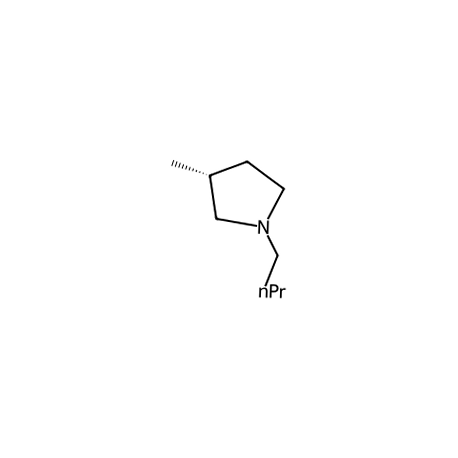 CCCCN1CC[C@@H](C)C1